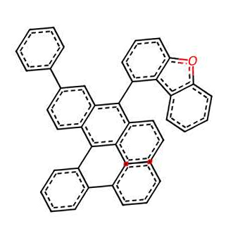 c1ccc(-c2ccc3c(-c4ccccc4-c4ccccc4)c4ccccc4c(-c4cccc5oc6ccccc6c45)c3c2)cc1